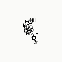 O=C(N[C@@H]1CCNC[C@@H]1F)[C@H]1[C@H](C(=O)NCc2ccc(Br)cc2F)[C@@H]2CC[C@H]1C21CC1